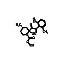 Cc1cccc(C)c1NC(=O)[C@@]1(C(C)(C)C)C[C@@H](C)CCN1C(=O)OC(C)(C)C